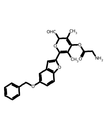 CC1=C(c2cc3cc(OCc4ccccc4)ccc3o2)OC(C=O)C(C)=C1OC(=O)CN